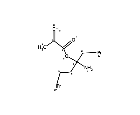 C=C(C)C(=O)OC(N)(CCC(C)C)CC(C)C